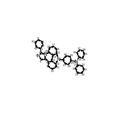 c1ccc(-c2ncc3c4cccc5c4c4c(cccc4n23)n5-c2ccc(N(c3ccccc3)c3ccccc3)cc2)cc1